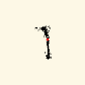 CCCCc1nc2c(N)nc3cc(C(=O)O)ccc3c2n1Cc1ccc(CNC(=O)CCOCCOCCOCCOCCNC(=O)CCN2C(=O)C=CC2=O)cc1